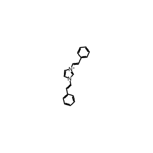 C(=Cn1cc[n+](C=Cc2ccccc2)c1)c1ccccc1